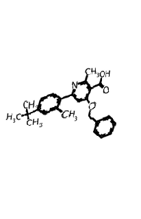 Cc1cc(C(C)(C)C)ccc1-c1cc(OCc2ccccc2)c(C(=O)O)c(C)n1